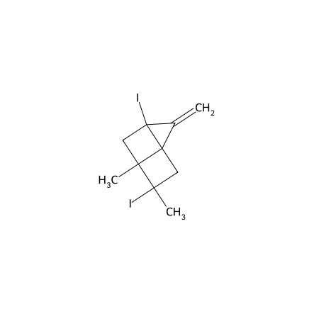 C=C1C2(I)CC3(C)C(C)(I)CC123